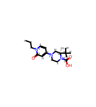 CCCn1ccc(N2CCN(C(=O)O)[C@](C)(C(C)(C)C)C2)cc1=O